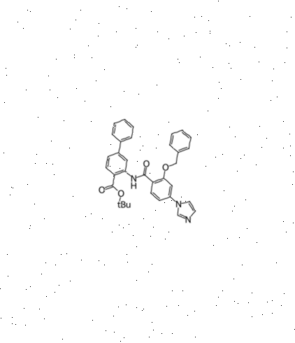 CC(C)(C)OC(=O)c1ccc(-c2ccccc2)cc1NC(=O)c1ccc(-n2ccnc2)cc1OCc1ccccc1